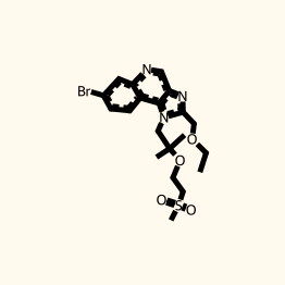 CCOCc1nc2cnc3cc(Br)ccc3c2n1CC(C)(C)OCCS(C)(=O)=O